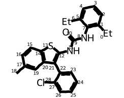 CCc1cccc(CC)c1NC(=O)Nc1sc2ccc(C)cc2c1-c1ccccc1Cl